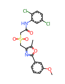 COc1cccc(-c2nc(CS(=O)(=O)CC(=O)Nc3cc(Cl)ccc3Cl)c(C)o2)c1